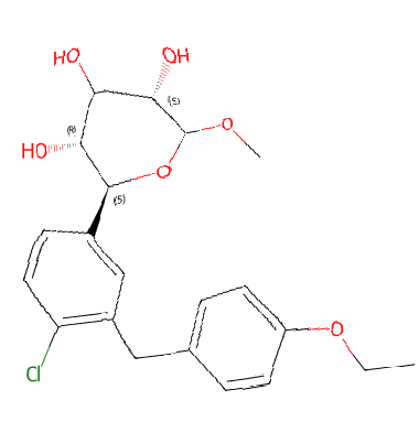 CCOc1ccc(Cc2cc([C@@H]3OC(OC)[C@@H](O)C(O)[C@H]3O)ccc2Cl)cc1